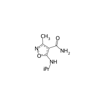 Cc1noc(NC(C)C)c1C(N)=O